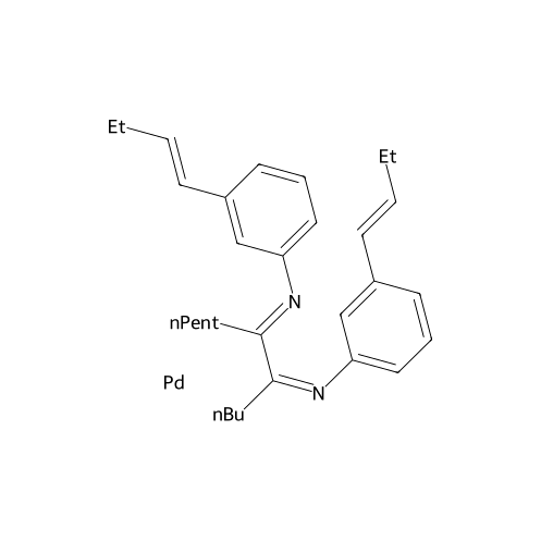 CCC=Cc1cccc(N=C(CCCC)C(CCCCC)=Nc2cccc(C=CCC)c2)c1.[Pd]